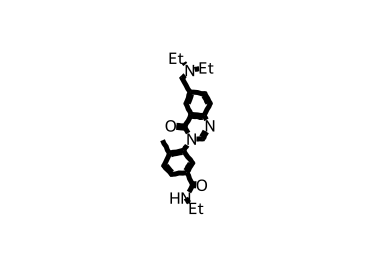 CCNC(=O)c1ccc(C)c(-n2cnc3ccc(CN(CC)CC)cc3c2=O)c1